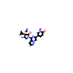 C[C@@H]1CN(c2nc(-c3ccc(=O)n(C)c3)cn3nccc23)C(=O)[C@]1(C#N)C1CC1